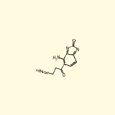 CCCCCCCCCCCC(=O)c1ccc2c(c1N)=NC(=O)N=2